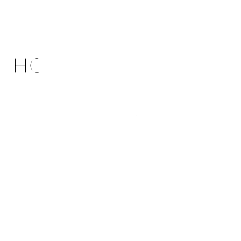 C#CC1C#CCC1